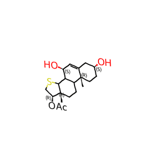 CC(=O)O[C@H]1CSC2C3C(CC[C@@]21C)[C@@]1(C)CC[C@H](O)CC1=C[C@@H]3O